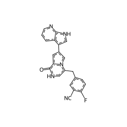 N#Cc1cc(Cc2c[nH]c(=O)c3cc(-c4c[nH]c5ncccc45)cn23)ccc1F